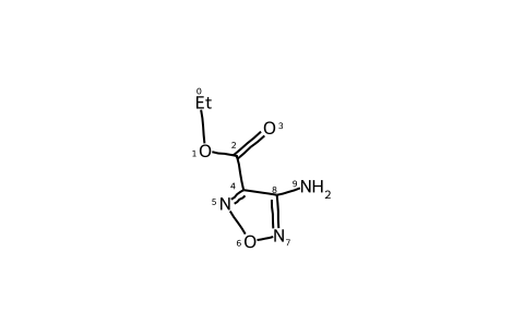 CCOC(=O)c1nonc1N